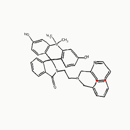 C[Si]1(C)c2cc(O)ccc2C2(c3ccccc3C(=O)N2CCN(Cc2ccccn2)Cc2ccccn2)c2ccc(O)cc21